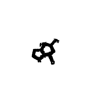 CC(C)c1cc(=O)n2nccc2[nH]1